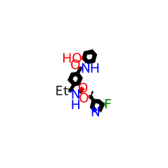 CCC(NC(=O)O[C@@H](C)c1cncc(F)c1)c1ccc(C(=O)Nc2ccccc2O)cc1